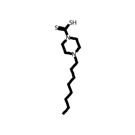 CCCCCCCCN1CCN(C(=S)S)CC1